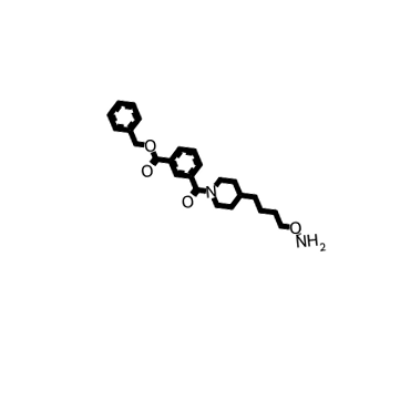 NOCCCCC1CCN(C(=O)c2cccc(C(=O)OCc3ccccc3)c2)CC1